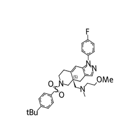 COCCN(C)C[C@]12Cc3cnn(-c4ccc(F)cc4)c3C=C1CCN(S(=O)(=O)c1ccc(C(C)(C)C)cc1)C2